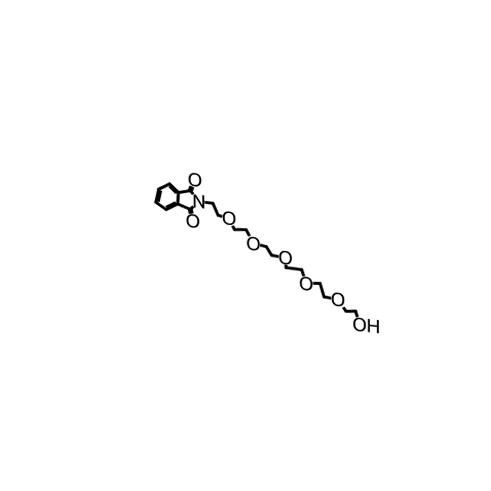 O=C1c2ccccc2C(=O)N1CCOCCOCCOCCOCCOCCO